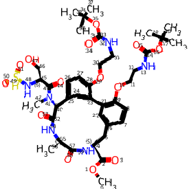 COC(=O)[C@@H]1Cc2ccc(OCCNC(=O)OC(C)(C)C)c(c2)-c2cc(ccc2OCCNC(=O)OC(C)(C)C)[C@H](N(C)C(=O)[C@H](CO)N[SH](=O)=O)C(=O)N[C@@H](C)C(=O)N1